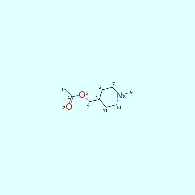 CC(=O)OCC1CCN(C)CC1